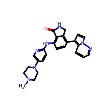 CN1CCN(c2ccc(Nc3ccc(-c4ccn5ncccc45)c4c3C(=O)NC4)nc2)CC1